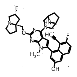 C#Cc1c(F)ccc2cc(O)cc(-c3cc4c(N5CC6CCC(C5)N6)nc(OC[C@@]56CCCN5C[C@H](F)C6)nc4n3C)c12